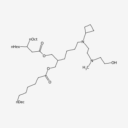 CCCCCCCCCCCCCCCC(=O)OCC(CCCCN(CCN(C)CCO)C1CCC1)COC(=O)CC(CCCCCC)CCCCCCCC